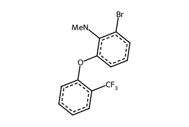 CNc1c(Br)cccc1Oc1ccccc1C(F)(F)F